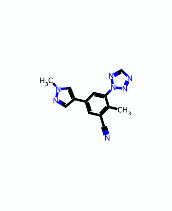 Cc1c(C#N)cc(-c2cnn(C)c2)cc1-n1ncnn1